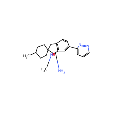 CC1CCC2(CC1)Cc1ccc(-c3cccnn3)cc1C21N=C(N)N(C)O1